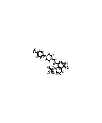 COc1ccc(N2CCN(CCc3n[nH]c(=O)c4c3N(OS(C)(=O)=O)CCC4)CC2)cc1